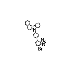 Brc1ccc(-c2ccc(-n3c4ccccc4c4c5ccccc5ccc43)cc2)c2nsnc12